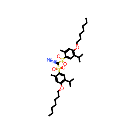 CCCCCCCOc1cc(C)c(S(=O)(=O)C(=[N+]=[N-])S(=O)(=O)c2cc(C(C)C)c(OCCCCCCC)cc2C)cc1C(C)C